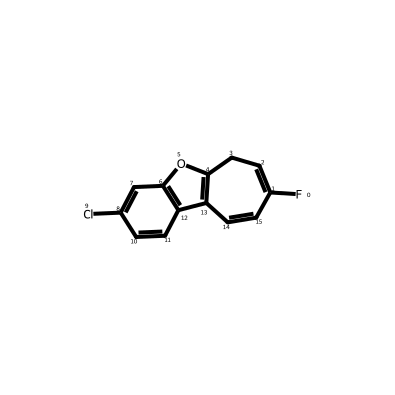 FC1=CCc2oc3cc(Cl)ccc3c2C=C1